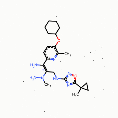 Cc1nc(/C(N)=C(\CNc2noc(C3(C)CC3)n2)N(C)N)ccc1OC1CCCCC1